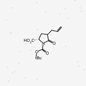 C=CCC1C[C@@H](C(=O)O)N(C(=O)OC(C)(C)C)C1=O